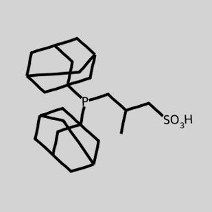 CC(CP(C12CC3CC(CC(C3)C1)C2)C12CC3CC(CC(C3)C1)C2)CS(=O)(=O)O